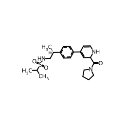 CC(C)S(=O)(=O)NC[C@H](C)c1ccc(C2=CC(C(=O)N3CCCC3)NC=C2)cc1